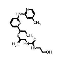 C=C(CNC(=O)NCCO)S/C(=C\C)c1cccc(Nc2cc(C)ccn2)n1